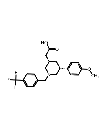 COc1ccc([C@H]2C[C@H](CC(=O)O)CN(Cc3ccc(C(F)(F)F)cc3)C2)cc1